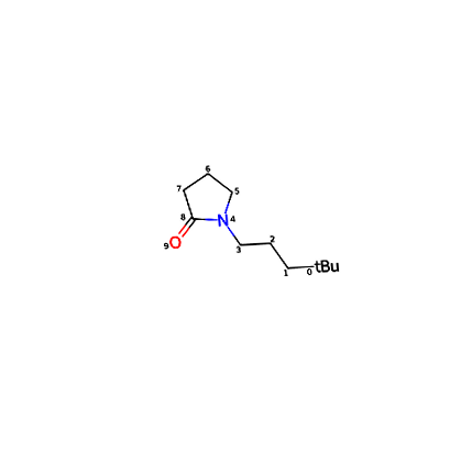 CC(C)(C)CCCN1CCCC1=O